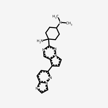 CN(C)C1CCC(N)(c2ncc3c(-c4ccc5nccn5n4)ccn3n2)CC1